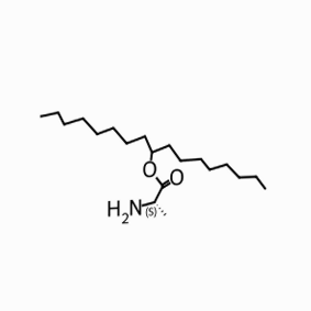 CCCCCCCCC(CCCCCCCC)OC(=O)[C@H](C)N